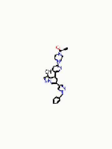 C#CC(=O)N1CCN(c2ccc(-c3cc(-c4cnn(Cc5ccccc5)c4)cn4ncc(C#N)c34)cn2)CC1